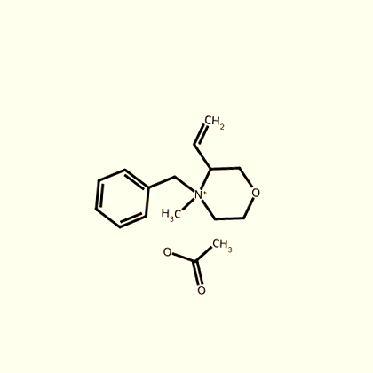 C=CC1COCC[N+]1(C)Cc1ccccc1.CC(=O)[O-]